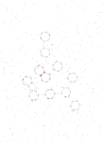 CC1(C)c2ccccc2-c2ccc(N(c3ccc(-c4cccc5c4oc4c(-c6ccc(-c7nc(-c8ccccc8)cc(-c8ccccc8)n7)cc6)cccc45)cc3)c3ccccc3-c3ccccc3)cc21